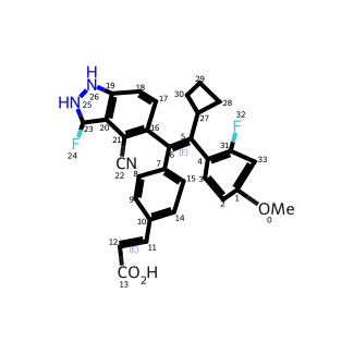 COc1ccc(/C(=C(\c2ccc(/C=C/C(=O)O)cc2)c2ccc3c(c2C#N)C(F)NN3)C2CCC2)c(F)c1